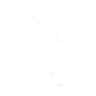 COCC(C)NCc1ccc(-c2cc3nccc(Oc4ccc(NC(=O)NC5CC5)cc4F)c3s2)nc1